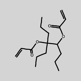 C=CC(=O)OC(CCC)C(CCC)(CCC)OC(=O)C=C